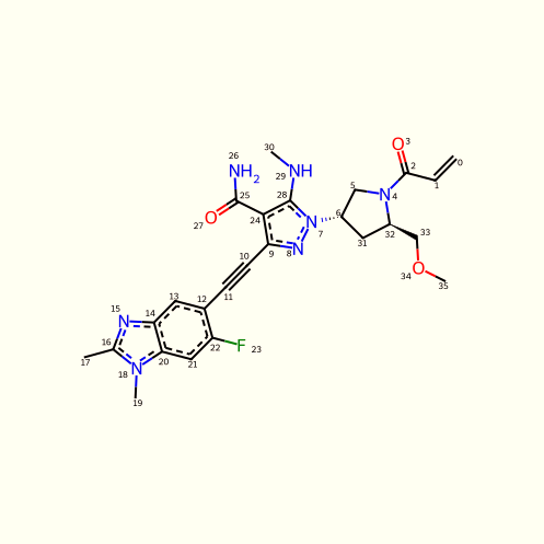 C=CC(=O)N1C[C@@H](n2nc(C#Cc3cc4nc(C)n(C)c4cc3F)c(C(N)=O)c2NC)C[C@@H]1COC